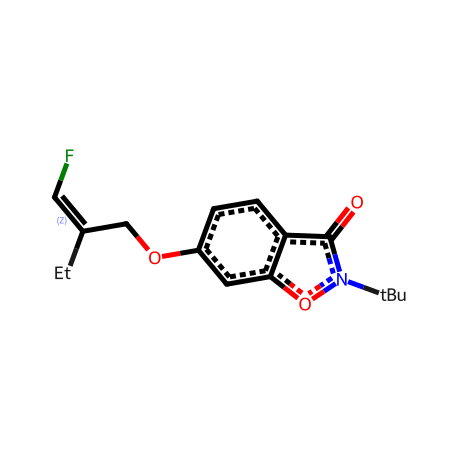 CC/C(=C/F)COc1ccc2c(=O)n(C(C)(C)C)oc2c1